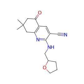 CC1(C)CC(=O)c2cc(C#N)c(NCC3CCCO3)nc2C1